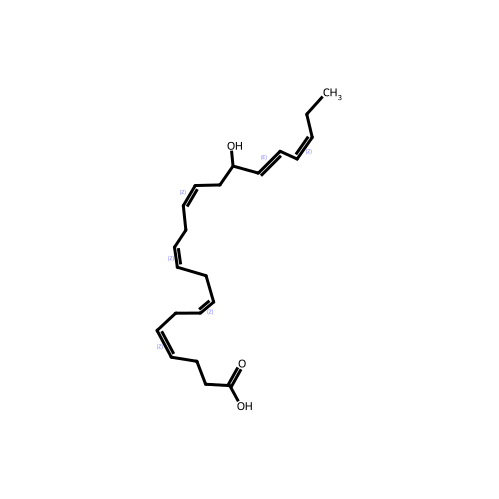 CC/C=C\C=C\C(O)C/C=C\C/C=C\C/C=C\C/C=C\CCC(=O)O